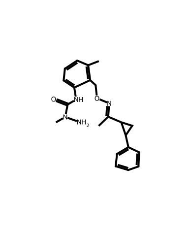 C/C(=N\OCc1c(C)cccc1NC(=O)N(C)N)C1CC1c1ccccc1